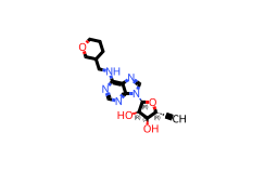 C#C[C@H]1O[C@@H](n2cnc3c(NCC4CCCOC4)ncnc32)[C@H](O)[C@@H]1O